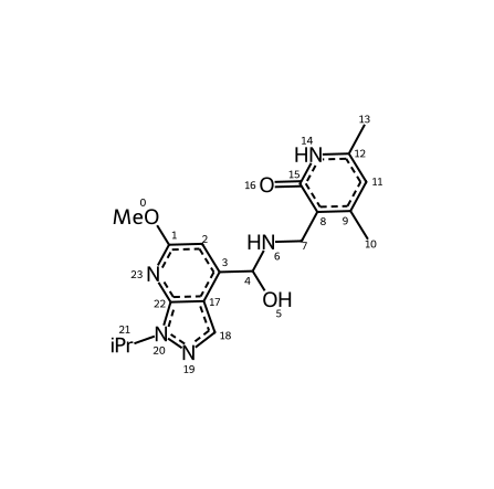 COc1cc(C(O)NCc2c(C)cc(C)[nH]c2=O)c2cnn(C(C)C)c2n1